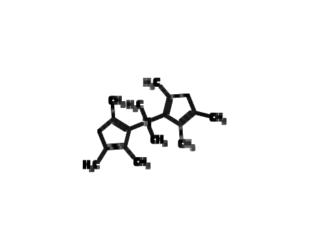 CC1=C(C)[C]([Ti]([CH3])([CH3])[C]2=C(C)CC(C)=C2C)=C(C)C1